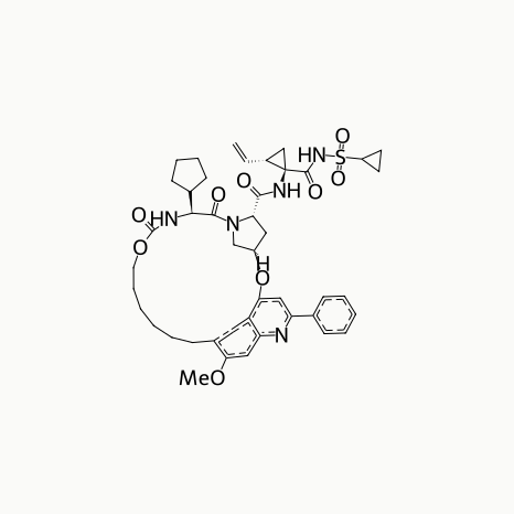 C=C[C@@H]1C[C@]1(NC(=O)[C@@H]1C[C@@H]2CN1C(=O)[C@H](C1CCCC1)NC(=O)OCCCCCCc1cc3c(cc(-c4ccccc4)nc3cc1OC)O2)C(=O)NS(=O)(=O)C1CC1